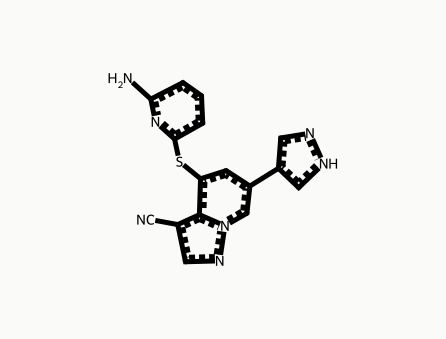 N#Cc1cnn2cc(-c3cn[nH]c3)cc(Sc3cccc(N)n3)c12